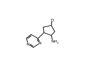 NC1CC(Cl)CC1c1ccncn1